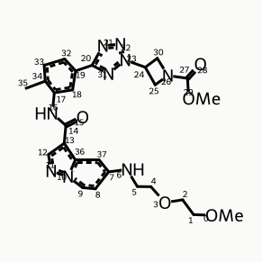 COCCOCCNc1ccn2ncc(C(=O)Nc3cc(-c4nnn(C5CN(C(=O)OC)C5)n4)ccc3C)c2c1